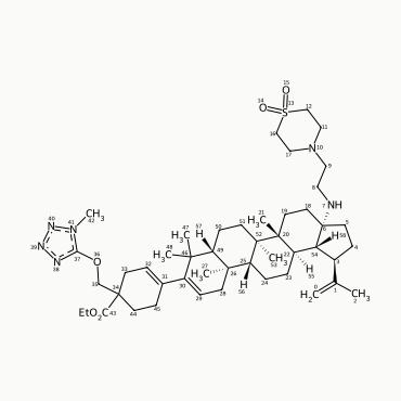 C=C(C)[C@@H]1CC[C@]2(NCCN3CCS(=O)(=O)CC3)CC[C@]3(C)[C@H](CC[C@@H]4[C@@]5(C)CC=C(C6=CCC(COc7nnnn7C)(C(=O)OCC)CC6)C(C)(C)[C@@H]5CC[C@]43C)[C@@H]12